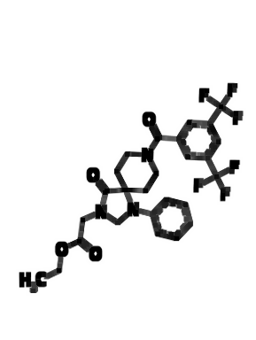 CCOC(=O)CN1CN(c2ccccc2)C2(CCN(C(=O)c3cc(C(F)(F)F)cc(C(F)(F)F)c3)CC2)C1=O